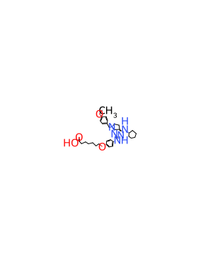 COc1ccc(CN2CCc3c(NC4CCCCC4)nc(Nc4ccc(OCCCCCCC(=O)O)cc4)nc32)cc1